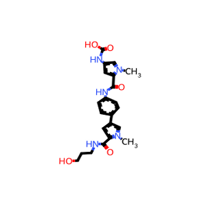 Cn1cc(-c2ccc(NC(=O)c3cc(NC(=O)O)cn3C)cc2)cc1C(=O)NCCCO